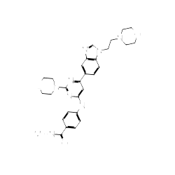 CNC(=O)c1ccc(Nc2cc(-c3ccc4c(c3)ncn4CCN3CCOCC3)nc(N3CCOCC3)n2)cc1